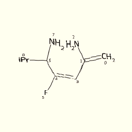 C=C(N)/C=C(/F)C(N)C(C)C